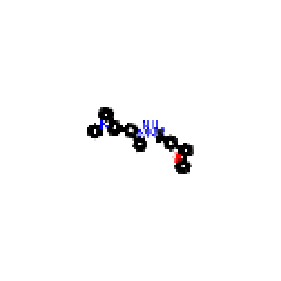 C=C(/C=C\N=C(/N)n1c2c(c3ccccc31)=CC(C1=CC3c4ccccc4N(c4ccccc4)C3C=C1)CC=2)c1ccc(-c2cccc3c2oc2ccccc23)cc1